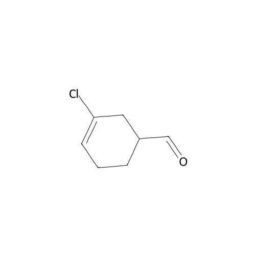 O=CC1CCC=C(Cl)C1